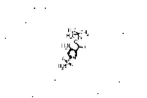 CC(C)(C)OOC(=O)c1ccc(S(N)(=O)=O)cc1N